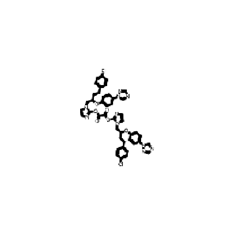 O=C(Oc1nccn1CC(CCc1ccc(Cl)cc1)Oc1ccc(-n2cncn2)cc1)C(=O)Oc1nccn1CC(CCc1ccc(Cl)cc1)Oc1ccc(-n2cncn2)cc1